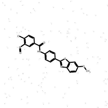 COc1ccc2nc(-c3ccc(NC(=O)c4ccc(Cl)c(N=O)c4)cc3)sc2c1